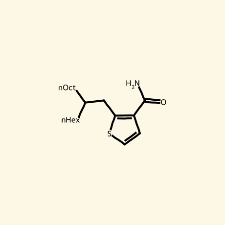 CCCCCCCCC(CCCCCC)Cc1sccc1C(N)=O